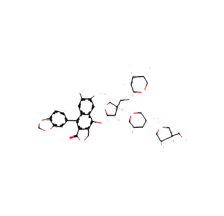 COc1cc2c(O[C@@H]3OC[C@](O)(CO[C@@H]4OC[C@@H](O)[C@H](O)[C@H]4O)[C@H]3O[C@@H]3OC[C@H](O)[C@H](O[C@@H]4OC[C@](O)(CO)[C@H]4O)[C@H]3O)c3c(c(-c4ccc5c(c4)OCO5)c2cc1OC)C(=O)OC3